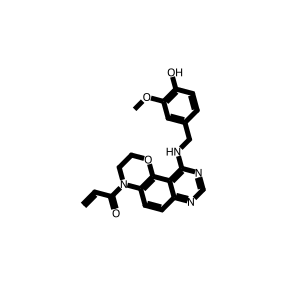 C=CC(=O)N1CCOc2c1ccc1ncnc(NCc3ccc(O)c(OC)c3)c21